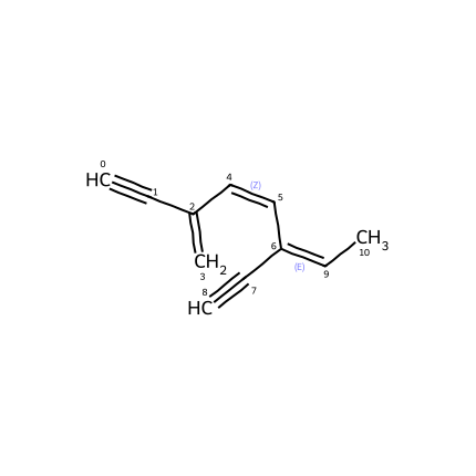 C#CC(=C)/C=C\C(C#C)=C/C